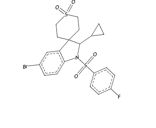 O=S1(=O)CCC2(CC1)c1cc(Br)ccc1N(S(=O)(=O)c1ccc(F)cc1)C2C1CC1